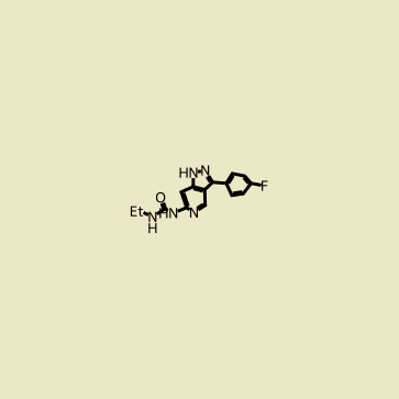 CCNC(=O)Nc1cc2[nH]nc(-c3ccc(F)cc3)c2cn1